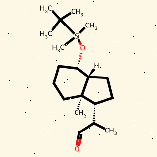 CC(C=O)[C@H]1CC[C@H]2[C@@H](O[Si](C)(C)C(C)(C)C)CCC[C@]12C